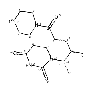 CC(OCC(=O)N1CCNCC1)[C@H](C)N1CCC(=O)NC1=O